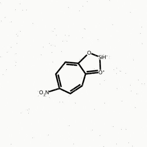 O=[N+]([O-])C1=CC=C2O[SiH-][O+]=C2C=C1